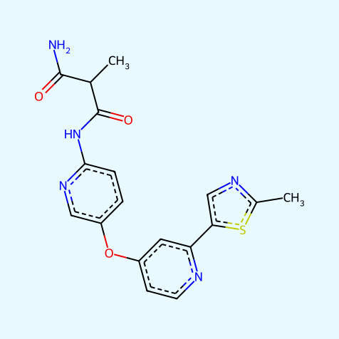 Cc1ncc(-c2cc(Oc3ccc(NC(=O)C(C)C(N)=O)nc3)ccn2)s1